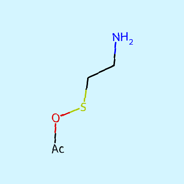 CC(=O)OSCCN